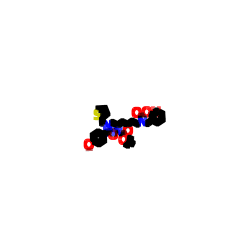 COc1ccc(C(=O)N(Cc2cccs2)CC(CCCCN(Cc2ccccc2)C(=O)O)NC(=O)OC(C)(C)C)cc1